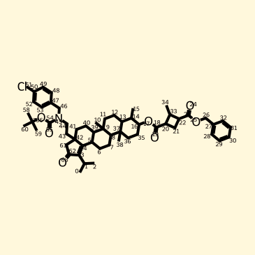 CC(C)C1=C2C3CCC4C(C)(CCC5C(C)C(OC(=O)C6CC(C(=O)OCc7ccccc7)C6C)CCC54C)C3CCC2(CCN(Cc2ccc(Cl)cc2)C(=O)OC(C)(C)C)CC1=O